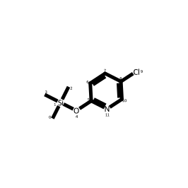 C[Si](C)(C)Oc1ccc(Cl)cn1